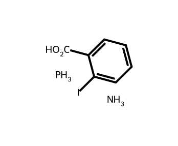 N.O=C(O)c1ccccc1I.P